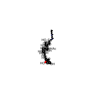 CC(=O)N[C@H]1C(O)[C@H](O[C@@H]2CC(CO)[C@H](O)C(O)C2NC(=O)CNC(=S)Nc2ccc3c(c2)C(=O)OC32c3ccc(O)cc3Oc3cc(O)ccc32)C(CO)O[C@H]1OC1[C@@H](OP(=O)(O)OC[C@@H](OC/C=C(/C)CC/C=C(\C)CCC=C(C)C)C(=O)O)OC(C(N)=O)[C@H](O)[C@@H]1O